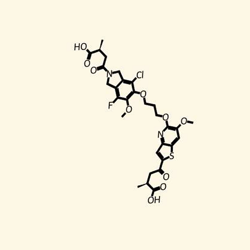 COc1cc2sc(C(=O)C[C@H](C)C(=O)O)cc2nc1OCCCOc1c(Cl)c2c(c(F)c1OC)CN(C(=O)C[C@H](C)C(=O)O)C2